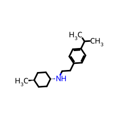 CC(C)c1ccc(CCN[C@H]2CC[C@H](C)CC2)cc1